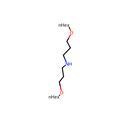 CCCCCCOCCCNCCCOCCCCCC